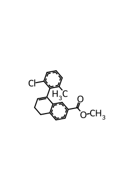 COC(=O)c1ccc2c(c1)C(c1c(C)cccc1Cl)=CCC2